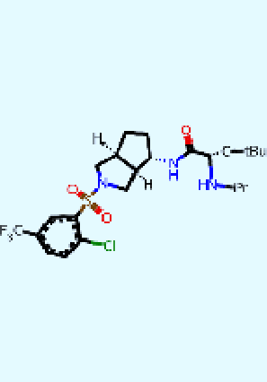 CC(C)N[C@@H](CC(C)(C)C)C(=O)N[C@H]1CC[C@@H]2CN(S(=O)(=O)c3cc(C(F)(F)F)ccc3Cl)C[C@@H]21